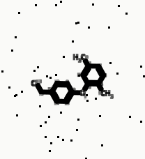 Cc1ccc(C)c(Oc2ccc(CCl)cc2)c1